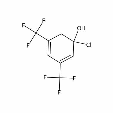 OC1(Cl)C=C(C(F)(F)F)C=C(C(F)(F)F)C1